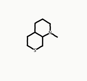 CN1CCCC2CCSCC21